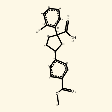 COC(=O)c1ccc(C2CCC(C(=O)O)(c3ccccc3F)C2)cc1